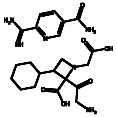 N=C(N)c1ccc(C(N)=O)cn1.NCC(=O)C1(C(=O)O)C(C2CCCCC2)CN1CC(=O)O